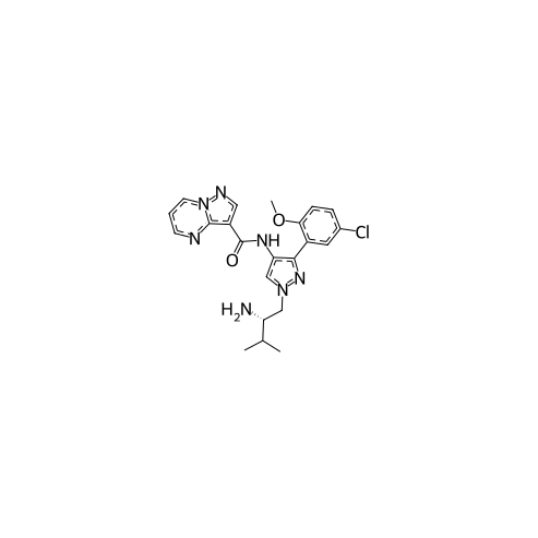 COc1ccc(Cl)cc1-c1nn(C[C@@H](N)C(C)C)cc1NC(=O)c1cnn2cccnc12